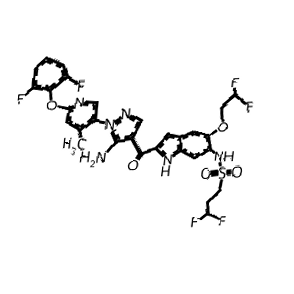 Cc1cc(Oc2c(F)cccc2F)ncc1-n1ncc(C(=O)c2cc3cc(OCC(F)F)c(NS(=O)(=O)CCC(F)F)cc3[nH]2)c1N